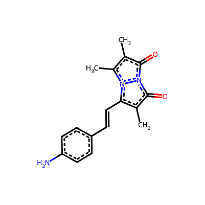 Cc1c(C)n2c(/C=C/c3ccc(N)cc3)c(C)c(=O)n2c1=O